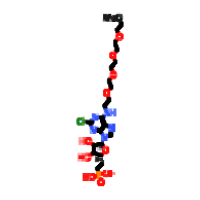 COCCOCCOCCOCCOCCNc1nc(Cl)nc2c1ncn2[C@@H]1O[C@H](CCP(=O)(O)O)C(O)C1O